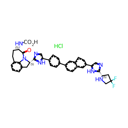 Cl.O=C(O)N[C@H]1CCc2cccc3c2N(C1=O)[C@H](c1ncc(-c2ccc(-c4ccc5cc(-c6cnc([C@@H]7CC(F)(F)CN7)[nH]6)ccc5c4)cc2)[nH]1)C3